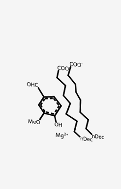 CCCCCCCCCCCCCCCCCC(=O)[O-].CCCCCCCCCCCCCCCCCC(=O)[O-].COc1cc(C=O)ccc1O.[Mg+2]